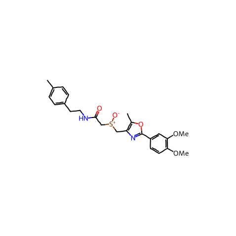 COc1ccc(-c2nc(C[S+]([O-])CC(=O)NCCc3ccc(C)cc3)c(C)o2)cc1OC